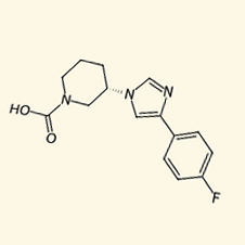 O=C(O)N1CCC[C@H](n2cnc(-c3ccc(F)cc3)c2)C1